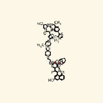 CCc1cccc2cc(O)cc(-c3ncc4c(N5CC6CCC(C5)N6C(=O)OC(C)(C)C)nc(OCCN5CCC(F)(CN6CCN(c7cc([C@@H](C(=O)N8C[C@H](O)C[C@H]8C(=O)N[C@@H](C)c8ccc(-c9scnc9C)cc8)C(C)C)on7)C[C@@H]6C)CC5)nc4c3F)c12